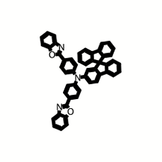 c1ccc2c(c1)-c1ccccc1C21c2ccccc2-c2ccc(N(c3ccc(-c4nc5ccccc5o4)cc3)c3ccc(-c4nc5ccccc5o4)cc3)cc21